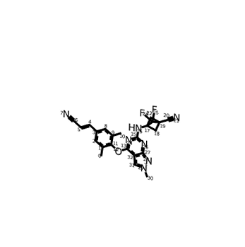 Cc1cc(/C=C/C#N)cc(C)c1Oc1nc(NC23CC(C#N)(C2)C3(F)F)nc2nn(C)cc12